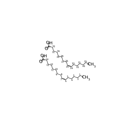 CCCCCC/C=C\CCCCCCCC(=O)O.CCCCCC/C=C\CCCCCCCC(=O)O